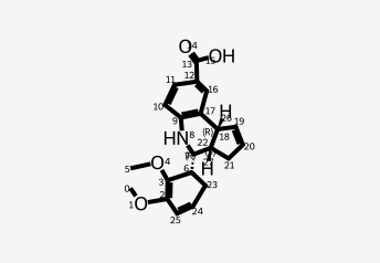 COC1=C(OC)C([C@@H]2Nc3ccc(C(=O)O)cc3[C@@H]3C=CC[C@@H]32)CC=C1